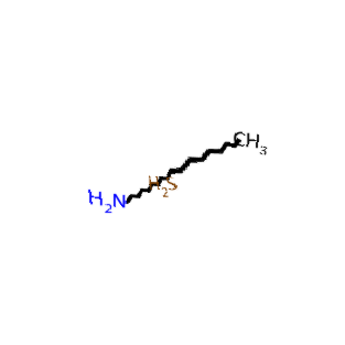 CCCCCCCCCCCCCCCCCCN.S